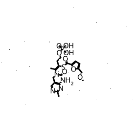 COCc1ccc(C(=O)S/C(CCOP(=O)(O)O)=C(/C)N(C=O)Cc2cnc(C)nc2N)o1